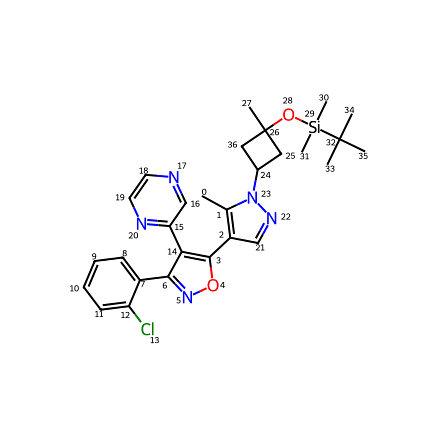 Cc1c(-c2onc(-c3ccccc3Cl)c2-c2cnccn2)cnn1C1CC(C)(O[Si](C)(C)C(C)(C)C)C1